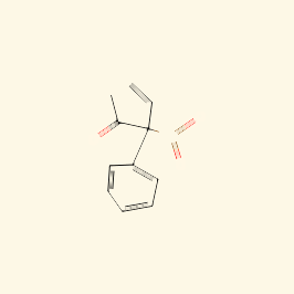 C=CC(C(C)=O)(c1ccccc1)[SH](=O)=O